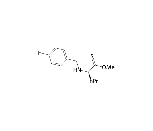 CCC[C@@H](NCc1ccc(F)cc1)C(=S)OC